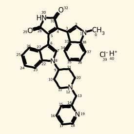 Cn1cc(C2=C(c3cn(C4CCN(Cc5ccccn5)CC4)c4ccccc34)C(=O)NC2=O)c2ccccc21.[Cl-].[H+]